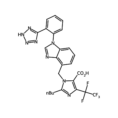 CCCCc1nc(C(F)(F)C(F)(F)F)c(C(=O)O)n1Cc1cccc2c1ncn2-c1ccccc1-c1nn[nH]n1